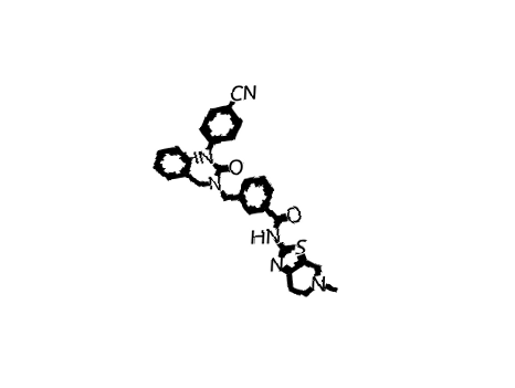 CN1CCc2nc(NC(=O)c3cccc(CN(Cc4ccccc4)C(=O)Nc4ccc(C#N)cc4)c3)sc2C1